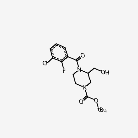 CC(C)(C)OC(=O)N1CCN(C(=O)c2cccc(Cl)c2F)C(CO)C1